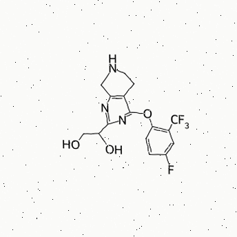 OCC(O)c1nc2c(c(Oc3ccc(F)cc3C(F)(F)F)n1)CCNC2